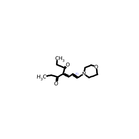 CCC(=O)C(=C/C=C/N1CCOCC1)C(=O)CC